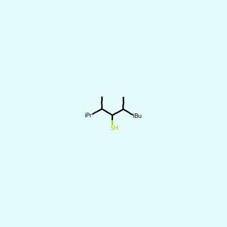 CCC(C)C(C)C(S)C(C)C(C)C